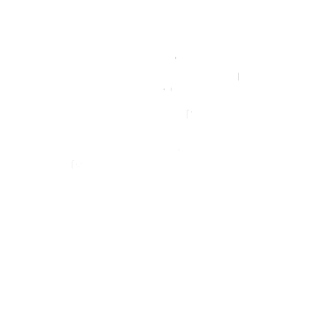 COB(OC)OCc1cc(F)ccc1Br